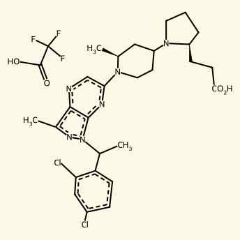 Cc1nn(C(C)c2ccc(Cl)cc2Cl)c2nc(N3CCC(N4CCC[C@H]4CCC(=O)O)C[C@@H]3C)cnc12.O=C(O)C(F)(F)F